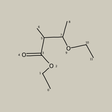 CCOC(=O)C(C)C(C)OCC